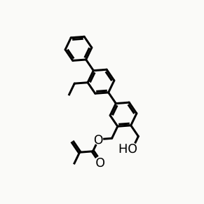 C=C(C)C(=O)OCc1cc(-c2ccc(-c3ccccc3)c(CC)c2)ccc1CO